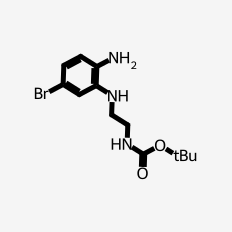 CC(C)(C)OC(=O)NCCNc1cc(Br)ccc1N